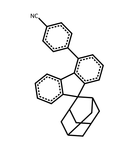 N#Cc1ccc(-c2cccc3c2-c2ccccc2C32C3CC4CC(C3)CC2C4)cc1